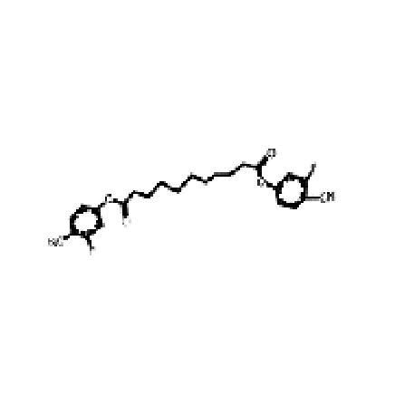 N#Cc1ccc(OC(=O)CCCCCCCCCC(=O)Oc2ccc(C#N)c(F)c2)cc1F